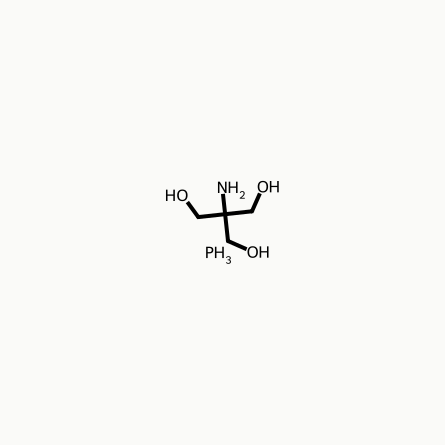 NC(CO)(CO)CO.P